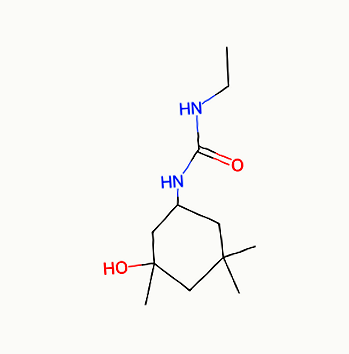 CCNC(=O)NC1CC(C)(C)CC(C)(O)C1